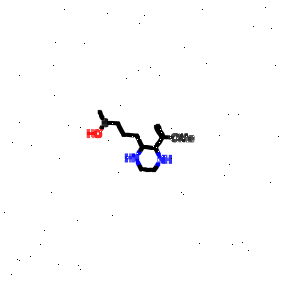 C=C(OC)C1NCCNC1CCCB(C)O